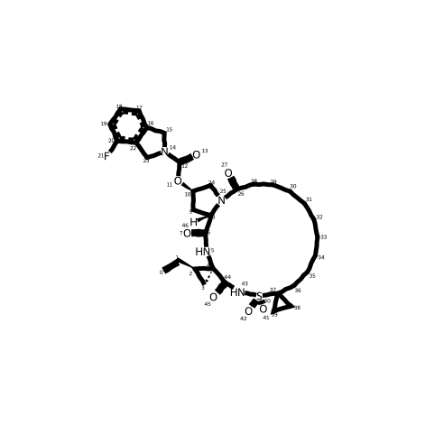 C=C[C@@H]1C[C@@]12NC(=O)[C@@H]1C[C@@H](OC(=O)N3Cc4cccc(F)c4C3)CN1C(=O)CCCCCCCCCC1(CC1)S(=O)(=O)NC2=O